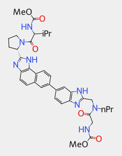 CCCN(Cc1nc2ccc(-c3ccc4c(ccc5nc([C@@H]6CCCN6C(=O)C(NC(=O)OC)C(C)C)[nH]c54)c3)cc2[nH]1)C(=O)CNC(=O)OC